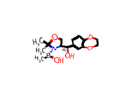 CB(O)N1C([C@H](O)c2ccc3c(c2)OCCO3)COC1(C)C